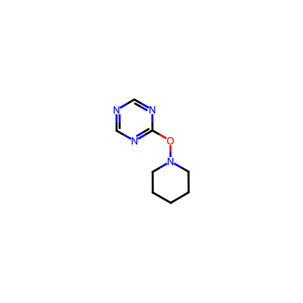 c1ncnc(ON2CCCCC2)n1